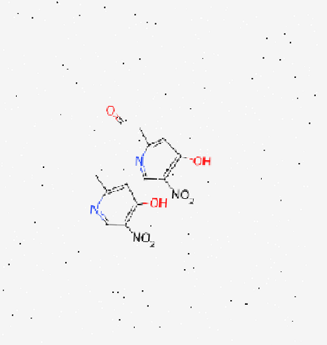 C=O.Cc1cc(O)c([N+](=O)[O-])cn1.Cc1cc(O)c([N+](=O)[O-])cn1